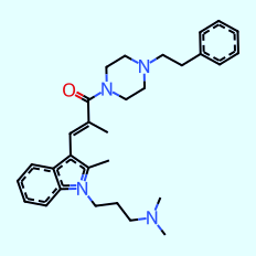 CC(=Cc1c(C)n(CCCN(C)C)c2ccccc12)C(=O)N1CCN(CCc2ccccc2)CC1